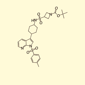 Cc1ccc(S(=O)(=O)n2cc(C3CCC(NS(=O)(=O)C4CN(C(=O)OC(C)(C)C)C4)CC3)c3cccnc32)cc1